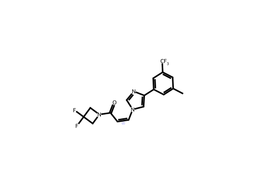 Cc1cc(-c2cn(/C=C\C(=O)N3CC(F)(F)C3)cn2)cc(C(F)(F)F)c1